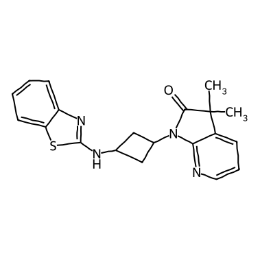 CC1(C)C(=O)N(C2CC(Nc3nc4ccccc4s3)C2)c2ncccc21